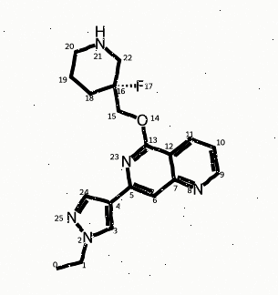 CCn1cc(-c2cc3ncccc3c(OC[C@@]3(F)CCCNC3)n2)cn1